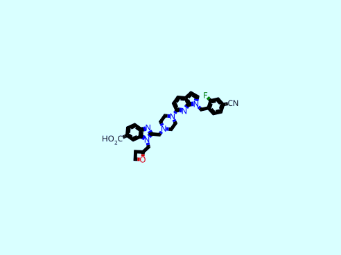 N#Cc1ccc(Cn2ccc3ccc(N4CCN(Cc5nc6ccc(C(=O)O)cc6n5CC5CCO5)CC4)nc32)c(F)c1